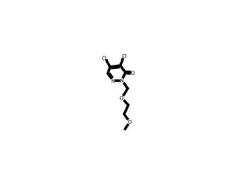 COCCOCn1ncc(Cl)c(Cl)c1=O